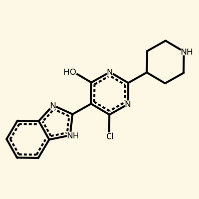 Oc1nc(C2CCNCC2)nc(Cl)c1-c1nc2ccccc2[nH]1